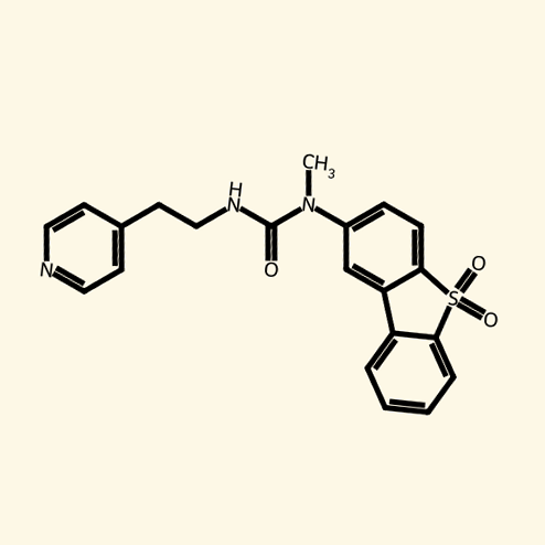 CN(C(=O)NCCc1ccncc1)c1ccc2c(c1)-c1ccccc1S2(=O)=O